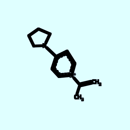 C=C(C)[n+]1ccc(N2CCCC2)cc1